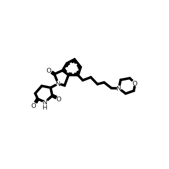 O=C1CCC(N2Cc3c(CCCCCN4CCOCC4)cccc3C2=O)C(=O)N1